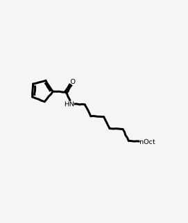 CCCCCCCCCCCCCCNC(=O)C1=CC=CC1